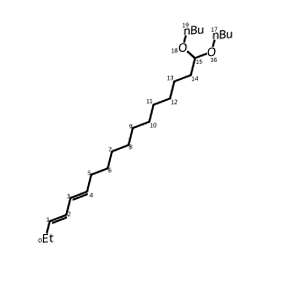 CCC=CC=CCCCCCCCCCCC(OCCCC)OCCCC